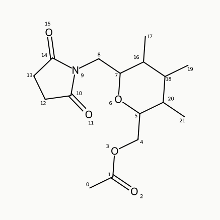 CC(=O)OCC1OC(CN2C(=O)CCC2=O)C(C)C(C)C1C